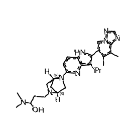 Cc1c(-c2[nH]c3ccc(N4C[C@H]5C[C@@H]4CN5CCC(O)N(C)C)nc3c2C(C)C)cn2ncnc2c1C